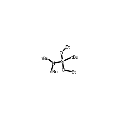 CCCCN(CCCC)[Si](OCC)(OCC)C(C)(C)C